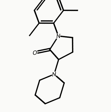 Cc1cccc(C)c1N1CCC(N2CCCCC2)C1=O